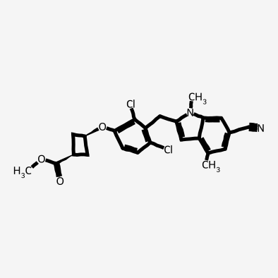 COC(=O)[C@H]1C[C@@H](Oc2ccc(Cl)c(Cc3cc4c(C)cc(C#N)cc4n3C)c2Cl)C1